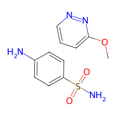 COc1cccnn1.Nc1ccc(S(N)(=O)=O)cc1